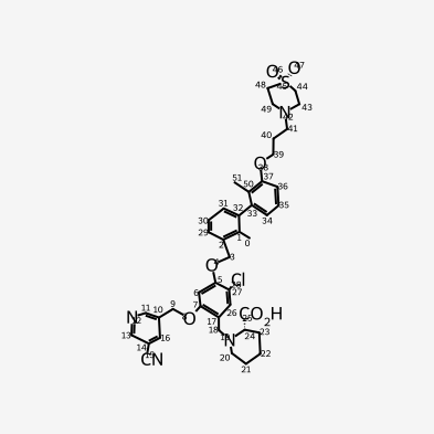 Cc1c(COc2cc(OCc3cncc(C#N)c3)c(CN3CCCC[C@H]3C(=O)O)cc2Cl)cccc1-c1cccc(OCCCN2CCS(=O)(=O)CC2)c1C